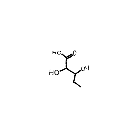 CCC(O)C(O)C(=O)O